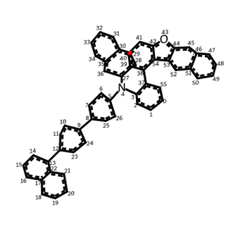 c1ccc(N(c2ccc(-c3ccc(-c4cccc5ccccc45)cc3)cc2)c2ccc3ccccc3c2)c(-c2cccc3oc4cc5ccccc5cc4c23)c1